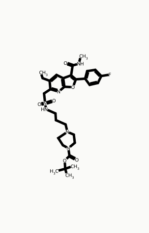 CCc1cc2c(C(=O)NC)c(-c3ccc(F)cc3)oc2nc1CS(=O)(=O)NCCCN1CCN(C(=O)OC(C)(C)C)CC1